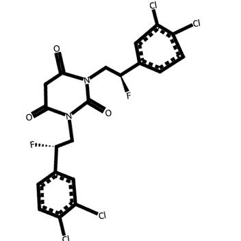 O=C1CC(=O)N(C[C@H](F)c2ccc(Cl)c(Cl)c2)C(=O)N1C[C@@H](F)c1ccc(Cl)c(Cl)c1